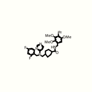 COc1cc(CNC(=O)C2CCC(CN(Cc3ccc(F)cc3F)c3ccncn3)CC2)c(OC)c(OC)c1C(C)C